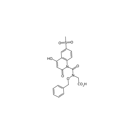 CS(=O)(=O)c1ccc2c(c1)c(O)cc(=O)n2C(=O)N(CC(=O)O)OCc1ccccc1